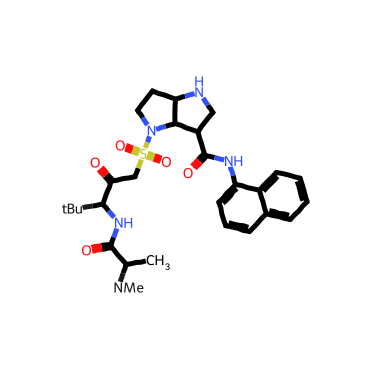 CNC(C)C(=O)NC(C(=O)CS(=O)(=O)N1CCC2NCC(C(=O)Nc3cccc4ccccc34)C21)C(C)(C)C